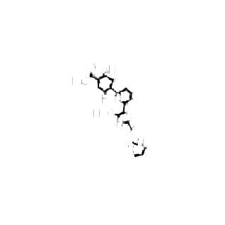 Cc1nc(COc2ncccn2)sc1-c1cccc(-c2cc(O)c(C(=O)O)cc2F)n1